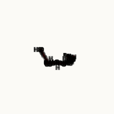 COC(=O)[C@H](CCC(=O)NCCOCCOCC(=O)NCCOCCOCC(=O)NCc1ncc(-c2cc3c(C(C)=O)nn(CC(=O)N4[C@H](C(=O)Nc5nc(Br)ccc5C)C[C@@]5(C)C[C@@H]45)c3cn2)cn1)NC(=O)CCCCCCCCCCCCCCCCC(=O)O